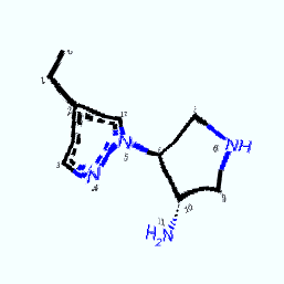 CCc1cnn(C2CNC[C@@H]2N)c1